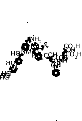 CC(C)(N)Cc1ccccc1.CN(C)CCOc1ccccc1Cc1ccccc1.CNC[C@H](O)c1cccc(O)c1.Cl.Cl.Cl.O=C(O)CC(O)(CC(=O)ON/N=N/N(OC(=O)CC(O)(CC(=O)O)C(=O)O)c1ccccc1)C(=O)O.c1ccncc1